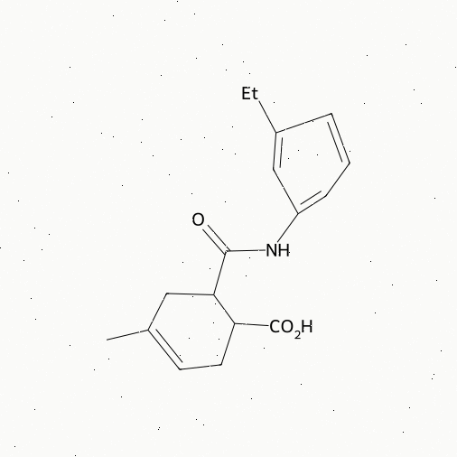 CCc1cccc(NC(=O)C2CC(C)=CCC2C(=O)O)c1